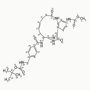 COC(=O)Nc1ccc2c(c1)NC(=O)CCC=CCC(NC(=O)c1ccc(CNC(=O)OC(C)(C)C)cc1)c1nc-2c(Cl)[nH]1